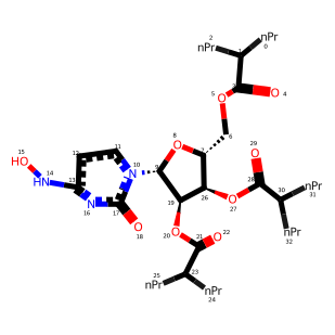 CCCC(CCC)C(=O)OC[C@H]1O[C@@H](n2ccc(NO)nc2=O)[C@H](OC(=O)C(CCC)CCC)[C@@H]1OC(=O)C(CCC)CCC